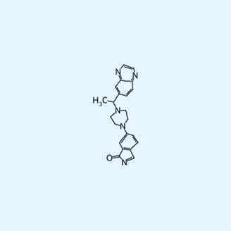 CC(c1ccc2nccnc2c1)N1CCN(c2ccc3c(c2)C(=O)N=C3)CC1